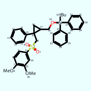 COc1ccc(S(=O)(=O)CC2(c3ccccc3)CC2CO[Si](c2ccccc2)(c2ccccc2)C(C)(C)C)cc1OC